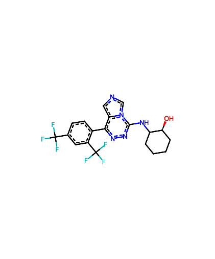 O[C@H]1CCCCC1Nc1nnc(-c2ccc(C(F)(F)F)cc2C(F)(F)F)c2cncn12